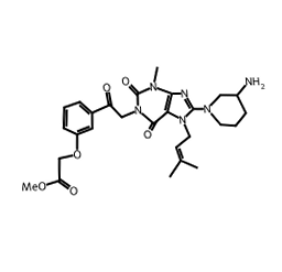 COC(=O)COc1cccc(C(=O)Cn2c(=O)c3c(nc(N4CCCC(N)C4)n3CC=C(C)C)n(C)c2=O)c1